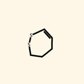 C1=CSSCCC1